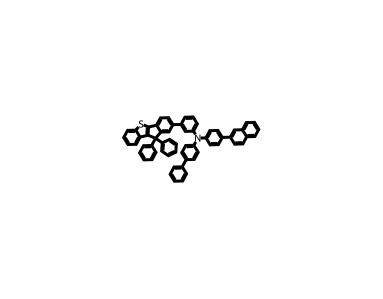 c1ccc(-c2ccc(N(c3ccc(-c4ccc5ccccc5c4)cc3)c3cccc(-c4ccc5c(c4)C(c4ccccc4)(c4ccccc4)c4c-5sc5ccccc45)c3)cc2)cc1